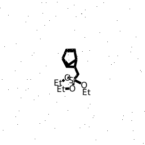 CCO[Si](CC1CC2C=CC1C2)(OCC)OCC